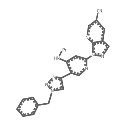 CC(C)Nc1cc(-n2ncc3cc(C#N)cnc32)ncc1-c1cn(Cc2ccccc2)nn1